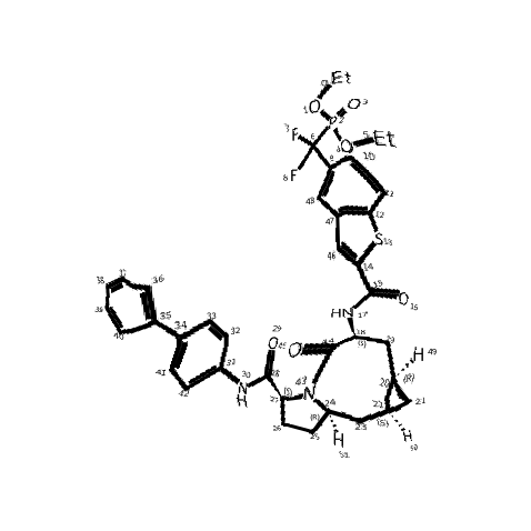 CCOP(=O)(OCC)C(F)(F)c1ccc2sc(C(=O)N[C@H]3C[C@H]4C[C@H]4C[C@H]4CC[C@@H](C(=O)Nc5ccc(-c6ccccc6)cc5)N4C3=O)cc2c1